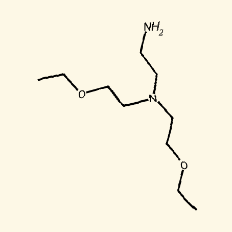 CCOCCN(CCN)CCOCC